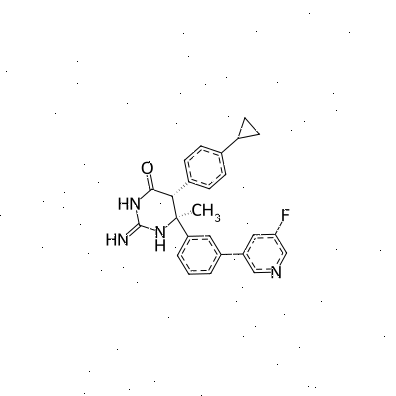 C[C@]1(c2cccc(-c3cncc(F)c3)c2)NC(=N)NC(=O)[C@@H]1c1ccc(C2CC2)cc1